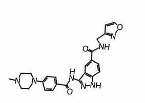 CN1CCN(c2ccc(C(=O)Nc3n[nH]c4ccc(C(=O)NCc5ccon5)cc34)cc2)CC1